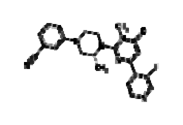 C[C@@H]1CN(c2cccc(C#N)c2)CCN1c1nc(-c2ccncc2F)cc(=O)n1C